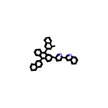 CC1C=C(c2c3ccccc3c(-c3ccc4ccccc4c3)c3ccc(-c4ccc(-c5cnc6ccccc6c5)nc4)cc23)C=C2C=CC=CC21